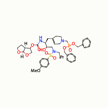 COc1ccc(S(=O)(=O)N(CC(C)C)C[C@@H](O)[C@H](CC2=CCN(CP(=O)(OCc3ccccc3)OCc3ccccc3)CC2)NC(=O)O[C@H]2CO[C@H]3OCC[C@H]32)cc1